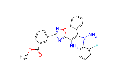 COC(=O)c1cccc(-c2noc(/C(N)=C(\c3ccccc3)N(N)c3ccccc3F)n2)c1